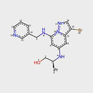 CC(C)[C@@H](CO)Nc1cc(NCc2cccnc2)n2ncc(Br)c2c1